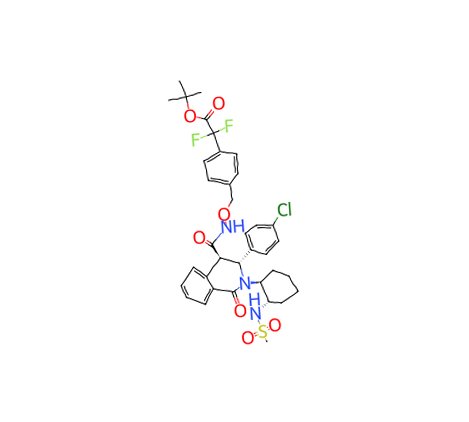 CC(C)(C)OC(=O)C(F)(F)c1ccc(CONC(=O)[C@@H]2c3ccccc3C(=O)N([C@H]3CCCC[C@@H]3NS(C)(=O)=O)[C@H]2c2ccc(Cl)cc2)cc1